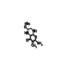 CCCCOC1CNc2nc(N)n(C)c(=O)c2N1